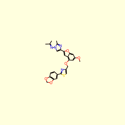 COc1cc(OCc2csc(-c3ccc4c(c3)OCO4)n2)c2cc(-c3cn(N=C(C)C)c(C)n3)oc2c1